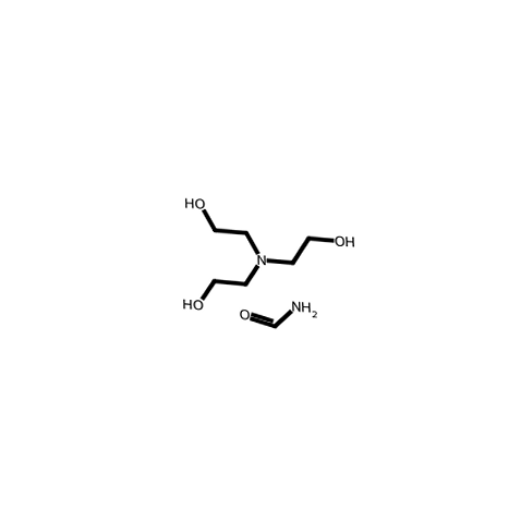 NC=O.OCCN(CCO)CCO